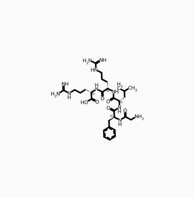 CC(C)C[C@H](NC(=O)[C@H](Cc1ccccc1)NC(=O)CN)C(=O)N[C@@H](CCCNC(=N)N)C(=O)N[C@@H](CCCNC(=N)N)C(=O)O